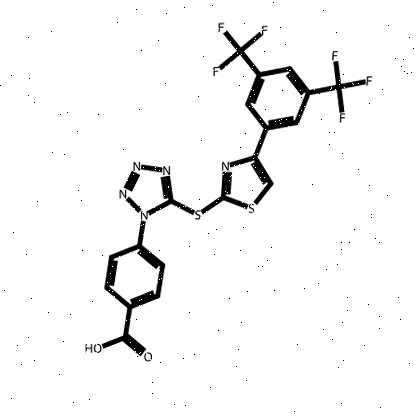 O=C(O)c1ccc(-n2nnnc2Sc2nc(-c3cc(C(F)(F)F)cc(C(F)(F)F)c3)cs2)cc1